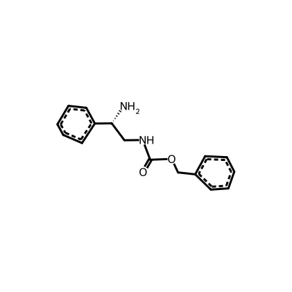 N[C@H](CNC(=O)OCc1ccccc1)c1ccccc1